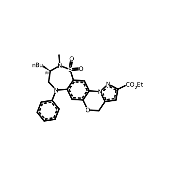 CCCC[C@@H]1CN(c2ccccc2)c2cc3c(cc2S(=O)(=O)N1C)-n1nc(C(=O)OCC)cc1CO3